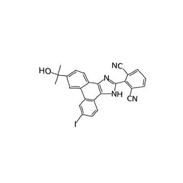 CC(C)(O)c1ccc2c(c1)c1cc(I)ccc1c1[nH]c(-c3c(C#N)cccc3C#N)nc21